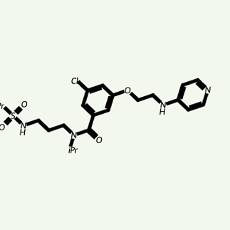 CC(C)N(CCCNS(=O)(=O)C(C)C)C(=O)c1cc(Cl)cc(OCCNc2ccncc2)c1